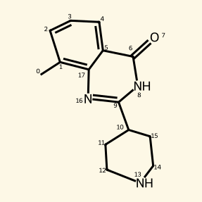 Cc1cccc2c(=O)[nH]c(C3CCNCC3)nc12